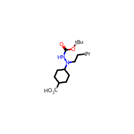 CC(C)CCN(NC(=O)OC(C)(C)C)C1CCC(C(=O)O)CC1